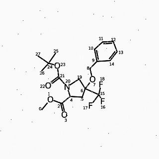 COC(=O)C1CC(OCc2ccccc2)(C(F)(F)F)CN1C(=O)OC(C)(C)C